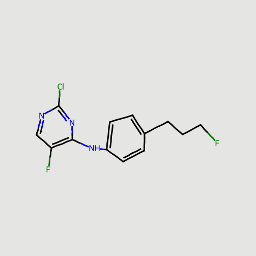 FCCCc1ccc(Nc2nc(Cl)ncc2F)cc1